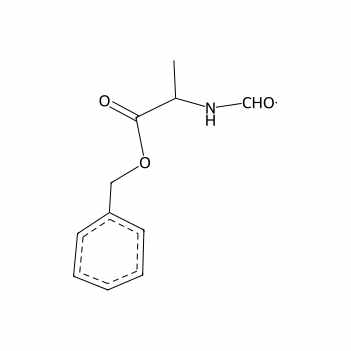 CC(N[C]=O)C(=O)OCc1ccccc1